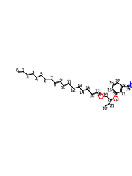 CCCCCCCCCCCCCCCCCCOC[C@H](CC)Oc1cccc(C#N)c1